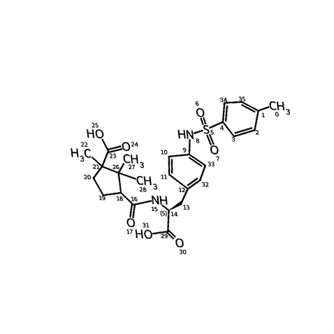 Cc1ccc(S(=O)(=O)Nc2ccc(C[C@H](NC(=O)C3CCC(C)(C(=O)O)C3(C)C)C(=O)O)cc2)cc1